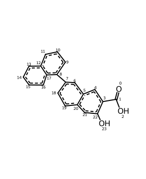 O=C(O)c1cc2cc(-c3cccc4ccccc34)ccc2cc1O